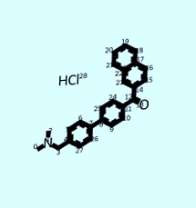 CN(C)Cc1ccc(-c2ccc(C(=O)c3ccc4ccccc4c3)cc2)cc1.Cl